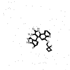 Nc1c(-c2ccc(F)c3[nH]ncc23)c2cc(OCC3(F)CCC3)c3ncccc3c2[nH]c1=O